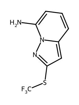 Nc1cccc2cc(SC(F)(F)F)nn12